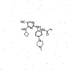 C=CC(=O)Nc1cc(N2CCN(C)CC2)ccc1Nc1ncc(C#N)c(NC2CCC2)n1